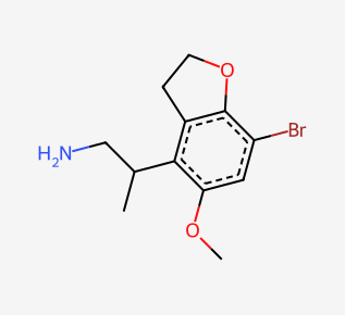 COc1cc(Br)c2c(c1C(C)CN)CCO2